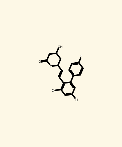 O=C1CC(O)CC(/C=C/c2c(Cl)cc(Cl)cc2-c2ccc(F)cc2)O1